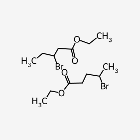 CCOC(=O)CC(Br)CC.CCOC(=O)CCC(C)Br